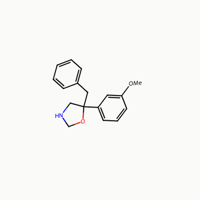 COc1cccc(C2(Cc3ccccc3)CNCO2)c1